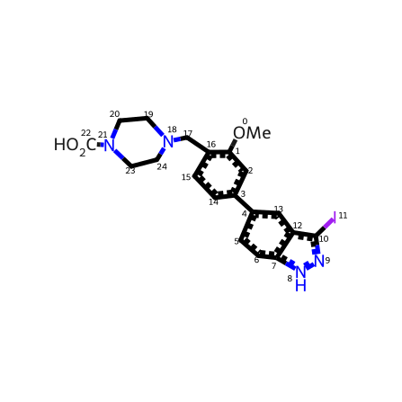 COc1cc(-c2ccc3[nH]nc(I)c3c2)ccc1CN1CCN(C(=O)O)CC1